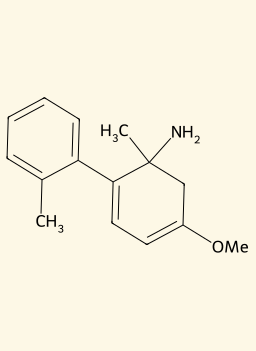 COC1=CC=C(c2ccccc2C)C(C)(N)C1